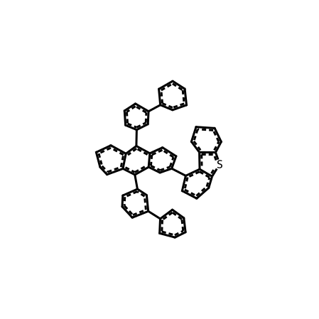 c1ccc(-c2cccc(-c3c4ccccc4c(-c4cccc(-c5ccccc5)c4)c4cc(-c5cccc6sc7ccccc7c56)ccc34)c2)cc1